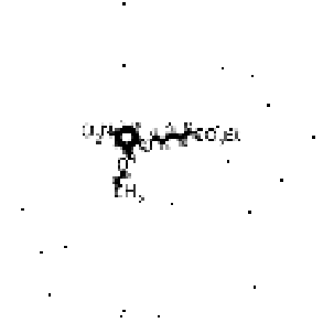 C=CCOCc1cc([N+](=O)[O-])ccc1OCCCCCC(=O)OCC